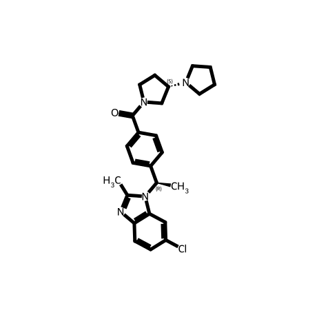 Cc1nc2ccc(Cl)cc2n1[C@H](C)c1ccc(C(=O)N2CC[C@H](N3CCCC3)C2)cc1